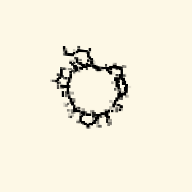 CCN1CCOC2(/C=C/c3ccc4ccc(nc4c3)[C@@H](C)NC(=O)[C@@H]3CCCN(N3)C(=O)[C@H](C)NC(=O)[C@H](C(C)C)OC2=O)C1